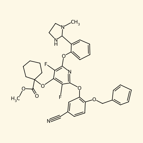 COC(=O)C1(Oc2c(F)c(Oc3cc(C#N)ccc3OCc3ccccc3)nc(Oc3ccccc3C3NCCN3C)c2F)CCCCC1